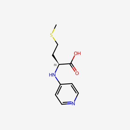 CSCC[C@H](Nc1ccncc1)C(=O)O